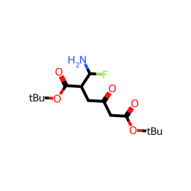 CC(C)(C)OC(=O)CC(=O)CC(C(=O)OC(C)(C)C)C(N)F